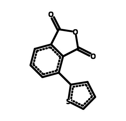 O=C1OC(=O)c2c1cccc2-c1cccs1